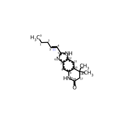 CCC/C=C/c1nc2cc3c(cc2[nH]1)C(C)(C)CC(=O)N3